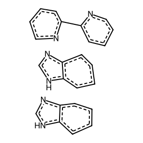 c1ccc(-c2ccccn2)nc1.c1ccc2[nH]cnc2c1.c1ccc2[nH]cnc2c1